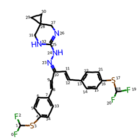 FC(F)Sc1ccc(/C=C/C(/C=C/c2ccc(SC(F)F)cc2)=NNC2=NCC3(CC3)CN2)cc1